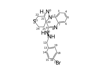 NN1c2ccccc2N=C(NNCc2ccc(Br)cc2)C12CCSCC2